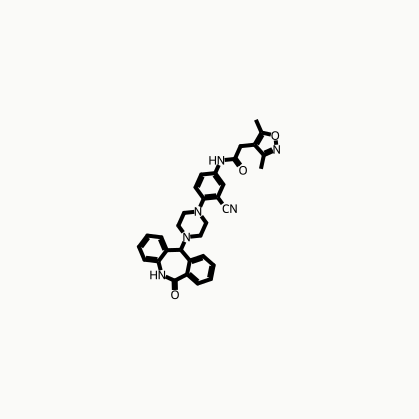 Cc1noc(C)c1CC(=O)Nc1ccc(N2CCN(C3c4ccccc4NC(=O)c4ccccc43)CC2)c(C#N)c1